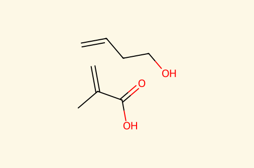 C=C(C)C(=O)O.C=CCCO